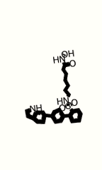 O=C(CCCCCCNS(=O)(=O)c1ccccc1-c1ccc(-c2ccc3cc[nH]c3c2)cc1)NO